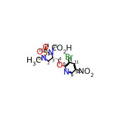 CN1C[C@@H](COc2ncc([N+](=O)[O-])cc2Br)N(C(=O)O)S1(=O)=O